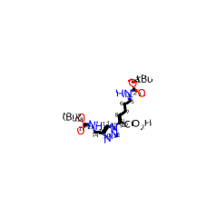 CC(C)(C)OC(=O)NCCCC[C@@H](C(=O)O)n1cc(CNC(=O)OC(C)(C)C)nn1